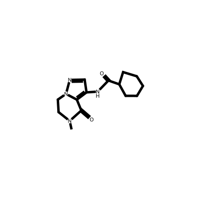 CN1CCn2ncc(NC(=O)C3CCCCC3)c2C1=O